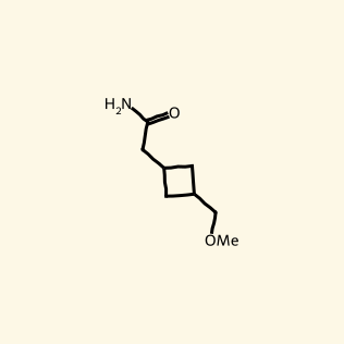 COCC1CC(CC(N)=O)C1